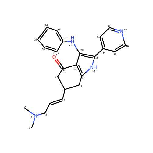 CN(C)C/C=C/C1CC(=O)c2c([nH]c(-c3ccncc3)c2Nc2ccccc2)C1